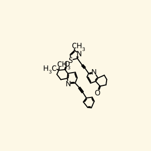 CC1(C)CCc2nc(C#Cc3ccccc3)ccc2C1=O.Cc1csc(C#Cc2ccc3c(n2)CCCC3=O)n1